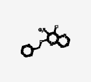 O=[N+]([O-])c1c(OCc2ccccc2)nc2cccnc2c1Cl